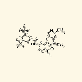 Cc1cc2c(cn1)cc(-c1cc(NC(=O)c3cc(C(F)(F)F)cc(C(F)(F)F)c3)ccc1C)c(=O)n2C